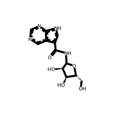 O=C(NC1O[C@H](CO)[C@@H](O)[C@H]1O)c1c[nH]c2ncncc12